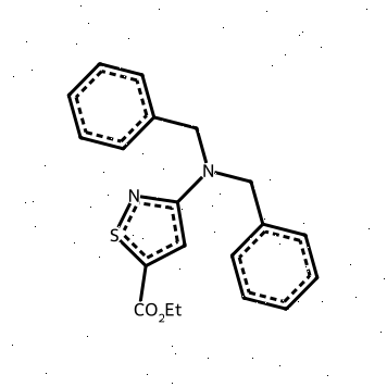 CCOC(=O)c1cc(N(Cc2ccccc2)Cc2ccccc2)ns1